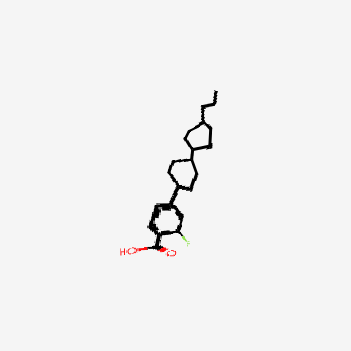 CCCC1CCC(C2CCC(c3ccc(C(=O)O)c(F)c3)CC2)CC1